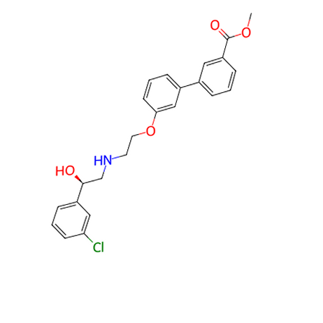 COC(=O)c1cccc(-c2cccc(OCCNC[C@H](O)c3cccc(Cl)c3)c2)c1